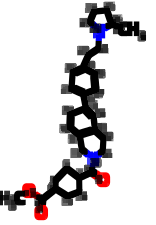 COC(=O)C1CCC(C(=O)N2CCc3cc(-c4ccc(CCN5CCCC5C)cc4)ccc3C2)CC1